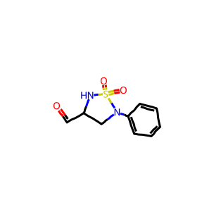 O=CC1CN(c2ccccc2)S(=O)(=O)N1